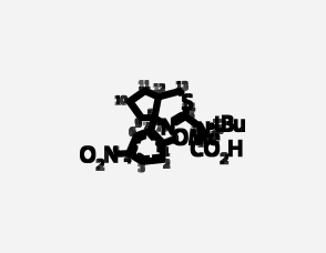 COc1ccc([N+](=O)[O-])cc1C12CCCC1CSC(N(C(=O)O)C(C)(C)C)=N2